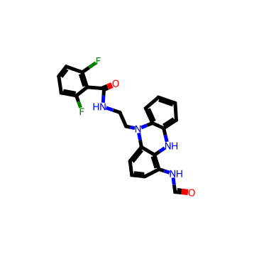 O=CNc1cccc2c1Nc1ccccc1N2CCNC(=O)c1c(F)cccc1F